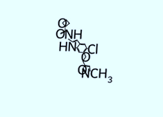 Cc1cc(COc2cc3[nH]c(CNC(=O)[C@@H]4CCO4)cc3cc2Cl)on1